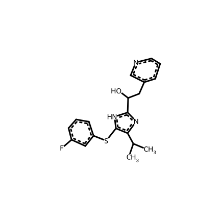 CC(C)c1nc(C(O)Cc2cccnc2)[nH]c1Sc1cccc(F)c1